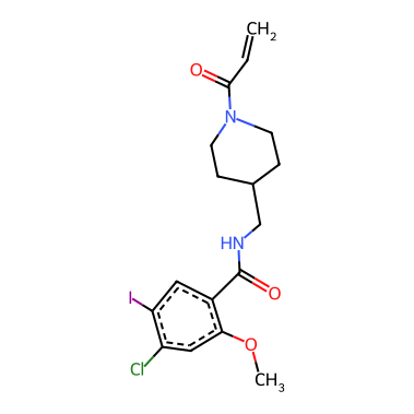 C=CC(=O)N1CCC(CNC(=O)c2cc(I)c(Cl)cc2OC)CC1